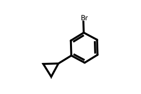 Brc1cccc(C2[CH]C2)c1